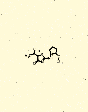 COC1CCCN1NC1=NC(=O)C(C(C)C)S1